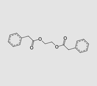 O=C(Cc1ccccc1)OCCOC(=O)Cc1ccccc1